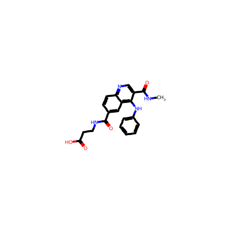 CNC(=O)c1cnc2ccc(C(=O)NCCC(=O)O)cc2c1Nc1ccccc1